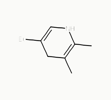 CCC1=CNC(C)=C(C)C1